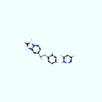 C[C@H](c1ccc(Oc2ncc(C(=O)O)cc2Cl)cc1Cl)[C@@](O)(c1ccc2c(c1)n(C)c(=O)n2C)C(F)(F)F